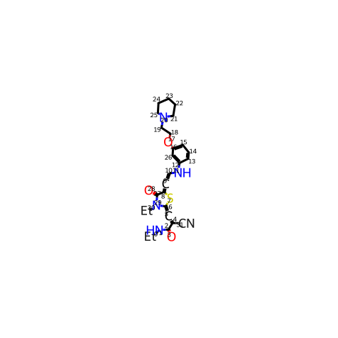 CCNC(=O)C(=C=c1sc(=C=CNc2cccc(OCCN3CCCCC3)c2)c(=O)n1CC)C#N